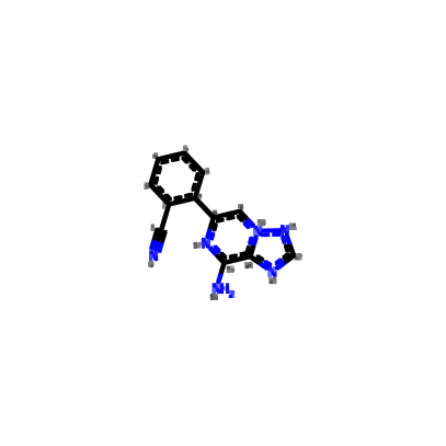 N#Cc1ccccc1-c1cn2ncnc2c(N)n1